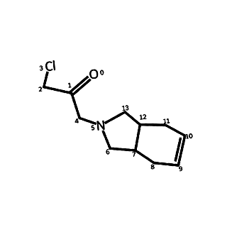 O=C(CCl)CN1CC2CC=CCC2C1